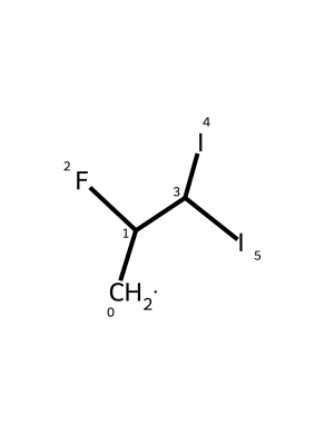 [CH2]C(F)C(I)I